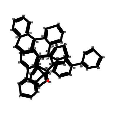 CC1(C)c2ccccc2-c2cccc(N(c3cccc(-c4ccccc4)c3)c3ccccc3-c3c(-n4c5ccccc5c5ccccc54)ccc4ccccc34)c21